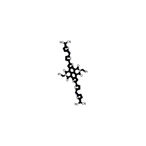 CC(C)CN1C(=O)c2c3cc(-c4ccc(/C=c5\ccc(=C(C#N)C#N)s5)s4)sc3c3c4c(c5cc(-c6ccc(/C=c7\ccc(=C(C#N)C#N)s7)s6)sc5c(c24)C1=O)C(=O)N(CC(C)C)C3=O